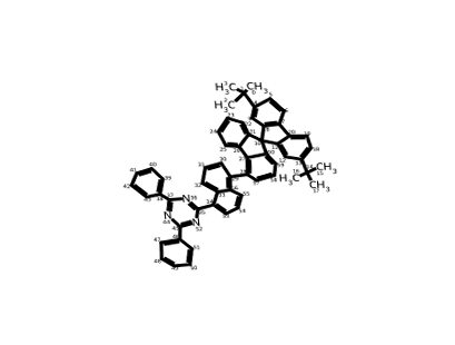 CC(C)(C)c1ccc2c(c1)C1(c3cc(C(C)(C)C)ccc3-2)c2ccccc2-c2c(-c3cccc4c(-c5nc(-c6ccccc6)nc(-c6ccccc6)n5)cccc34)cccc21